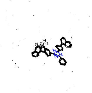 C[Si]1(C)c2cc(-c3nc(-c4ccccc4)nc(-c4ccc(-c5cccc6ccccc56)cc4)n3)ccc2-c2c1ccc1ccccc21